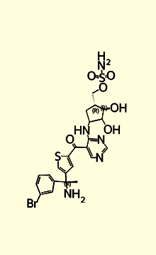 C[C@@](N)(c1cccc(Br)c1)c1csc(C(=O)c2cncnc2NC2C[C@H](COS(N)(=O)=O)[C@@H](O)C2O)c1